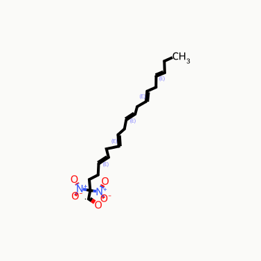 CC/C=C/C/C=C/C/C=C/C/C=C/C/C=C/CCC([C]=O)([N+](=O)[O-])[N+](=O)[O-]